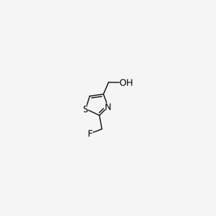 OCc1csc(CF)n1